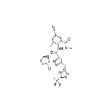 Cc1cc(C#N)cc(C(=O)N(C)C)c1NC(=O)c1cc(Cn2nnc(C(F)(F)F)n2)nn1-c1ncccc1Cl